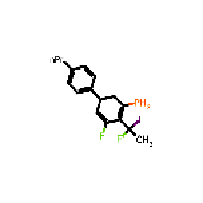 CCCc1ccc(C2C=C(F)C(C(C)(F)I)=C(P)C2)cc1